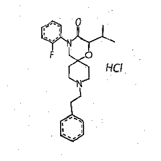 CC(C)C1OC2(CCN(CCc3ccccc3)CC2)CN(c2ccccc2F)C1=O.Cl